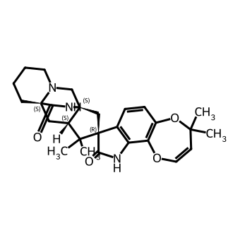 CC1(C)C=COc2c(ccc3c2NC(=O)[C@@]32C[C@@]34CN5CCCC[C@]5(C[C@H]3C2(C)C)C(=O)N4)O1